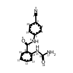 N#Cc1ccc(NC(=O)c2ccccc2NC(N)=O)cc1